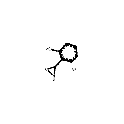 Oc1ccccc1C1NO1.[Ni]